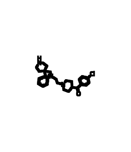 O=C(c1ccc(Cl)cc1)C1CCN(CCNCC2(c3ccccc3)CCNCC2)CC1